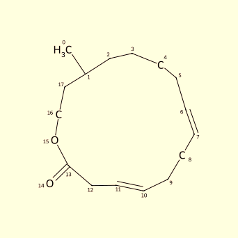 CC1CCCCC=CCC/C=C/CC(=O)OCC1